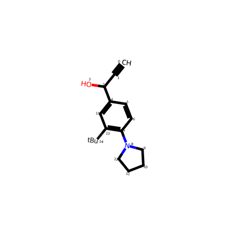 C#CC(O)c1ccc(N2CCCC2)c(C(C)(C)C)c1